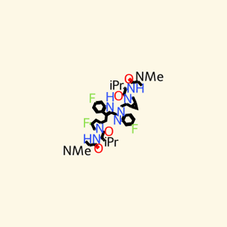 CNC(C)C(=O)NC(C(=O)N1CC(F)CC1Cc1c(-c2nc3cc(F)ccc3n2CC2C3CC3CN2C(=O)C(NC(=O)C(C)NC)C(C)C)[nH]c2cc(F)ccc12)C(C)C